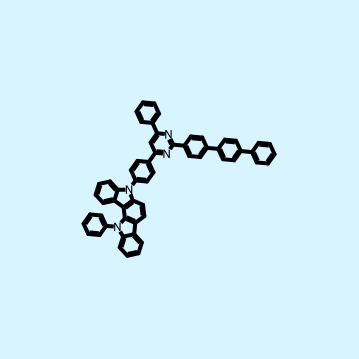 c1ccc(-c2ccc(-c3ccc(-c4nc(-c5ccccc5)cc(-c5ccc(-n6c7ccccc7c7c6ccc6c8ccccc8n(-c8ccccc8)c67)cc5)n4)cc3)cc2)cc1